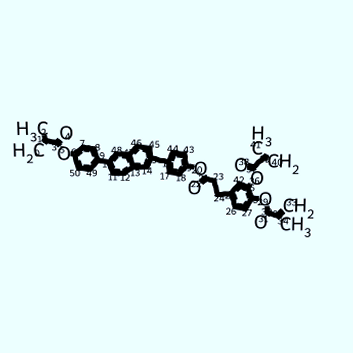 C=C(C)C(=O)Oc1ccc(-c2ccc3cc(-c4ccc(OC(=O)CCc5ccc(OC(=O)C(=C)C)c(OC(=O)C(=C)C)c5)cc4)ccc3c2)cc1